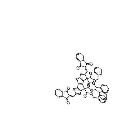 O=C1C(=CC2=Cc3sc4c(c3C2(C(=O)OCc2ccccc2)C(=O)OCc2ccccc2)C(C(=O)OCc2ccccc2)(C(=O)OCc2ccccc2)c2cc(C=C3C(=O)c5ccccc5C3=O)sc2-4)C(=O)c2ccccc21